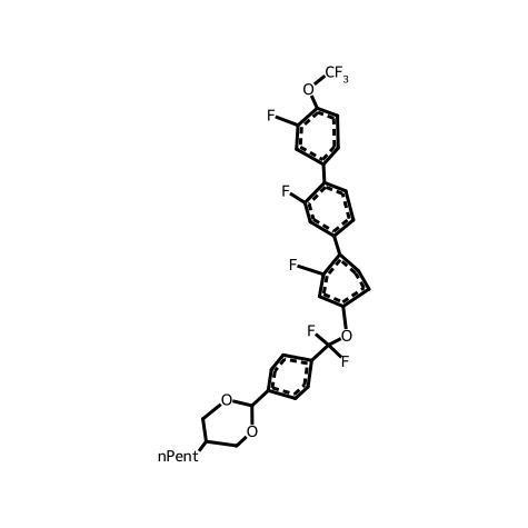 CCCCCC1COC(c2ccc(C(F)(F)Oc3ccc(-c4ccc(-c5ccc(OC(F)(F)F)c(F)c5)c(F)c4)c(F)c3)cc2)OC1